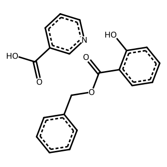 O=C(O)c1cccnc1.O=C(OCc1ccccc1)c1ccccc1O